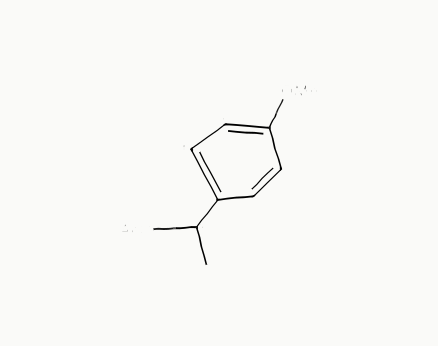 COc1ccc(C(C)OC(C)=O)cc1